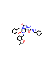 CC1COc2c(CN3C[C@H]4N(C(=O)CN4N(C)C(=O)NCc4ccccc4)[C@@H](Cc4ccccc4)C3=O)cccc21